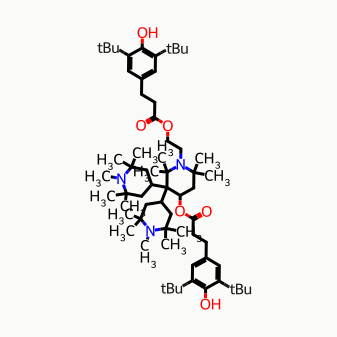 CN1C(C)(C)CC(C2(C3CC(C)(C)N(C)C(C)(C)C3)C(OC(=O)CCc3cc(C(C)(C)C)c(O)c(C(C)(C)C)c3)CC(C)(C)N(CCOC(=O)CCc3cc(C(C)(C)C)c(O)c(C(C)(C)C)c3)C2(C)C)CC1(C)C